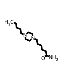 CCCCCN1CCN(CCCCCC(N)=O)CC1